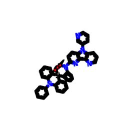 c1ccc(N2c3ccccc3[Si]3(c4ccccc42)c2ccccc2N(c2ccc4c(n2)c2ncccc2n4-c2cccnc2)c2ccccc23)cc1